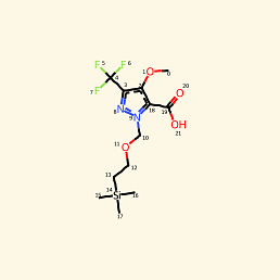 COc1c(C(F)(F)F)nn(COCC[Si](C)(C)C)c1C(=O)O